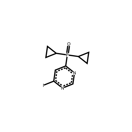 O=P(c1cc(I)ncn1)(C1CC1)C1CC1